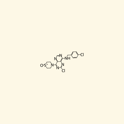 [O-][S+]1CCN(c2nc(Cl)nc3c(NCc4ccc(Cl)cc4)ncnc23)CC1